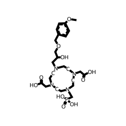 COc1ccc(COCC(O)CN2CCN(CC(=O)O)CCN(CP(=O)(O)O)CCN(CC(=O)O)CC2)cc1